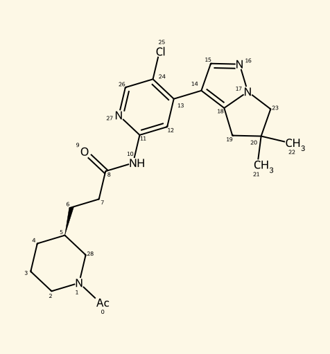 CC(=O)N1CCC[C@@H](CCC(=O)Nc2cc(-c3cnn4c3CC(C)(C)C4)c(Cl)cn2)C1